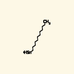 CCCCCCCCCCC[CH2][SnH]